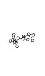 N#Cc1cc(-c2ccccc2-c2cc3ccccc3c3ccccc23)ccc1-c1ccc(-c2cccc(-c3nc(-c4ccccc4)nc(-c4ccccc4-c4ccc5ccccc5c4)n3)c2)cc1